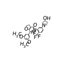 COc1cc(OC)cc(-c2nn(-c3cc(N4CC[C@H](O)C4)ccc3C(F)(F)F)c(=O)c3c2OCC3)c1